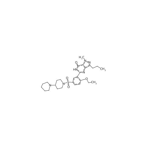 CCCc1nn(C)c2c(=O)[nH]c(-c3cc(S(=O)(=O)N4CCC(N5CCCCC5)CC4)ccc3OCC)nc12